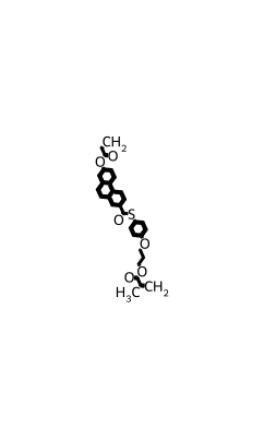 C=CC(=O)Oc1ccc2c(ccc3cc(C(=O)Sc4ccc(OCCCOC(=O)C(=C)C)cc4)ccc32)c1